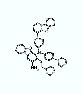 Nc1cc2c(oc3ccccc32)c(N(c2ccc(-c3ccccc3)cc2)c2ccc(-c3cccc4c3oc3ccccc34)cc2)c1SCc1ccccc1